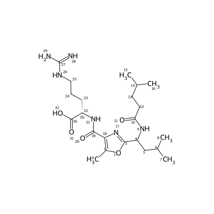 Cc1oc(C(CC(C)C)NC(=O)CCC(C)C)nc1C(=O)N[C@@H](CCCNC(=N)N)C(=O)O